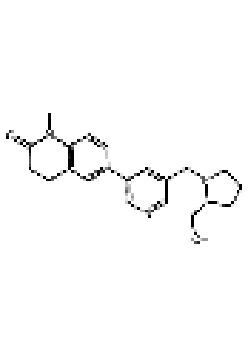 CN1C(=O)CCc2cc(-c3cncc(CN4CCC[C@H]4CO)c3)ccc21